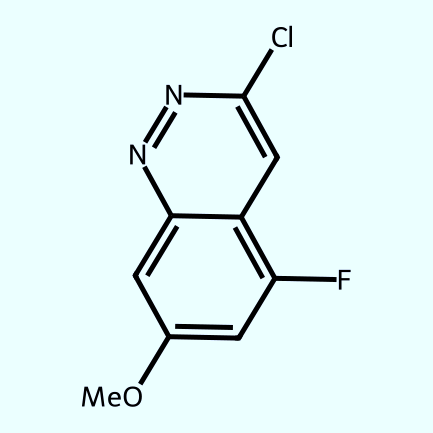 COc1cc(F)c2cc(Cl)nnc2c1